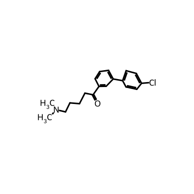 CN(C)CCCCC(=O)c1cccc(-c2ccc(Cl)cc2)c1